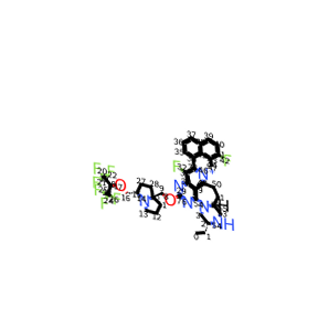 CC[C@@H]1CN2c3nc(OC[C@@]45CCCN4[C@H](COC(C(F)(F)F)C(F)(F)F)CC5)nc4c(F)c(-c5cccc6ccc(F)c(C)c56)[n+](C)c(c34)CC[C@@H]2CN1